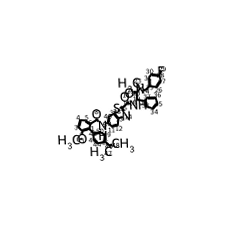 COc1cccc(C(=O)Nc2ccc3nc(C(=O)N[C@H](C(=O)N(C)Cc4ccc(F)cc4)c4ccccc4)sc3c2)c1-c1ccc(C(C)C)cc1